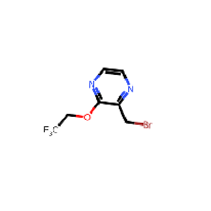 FC(F)(F)COc1nccnc1CBr